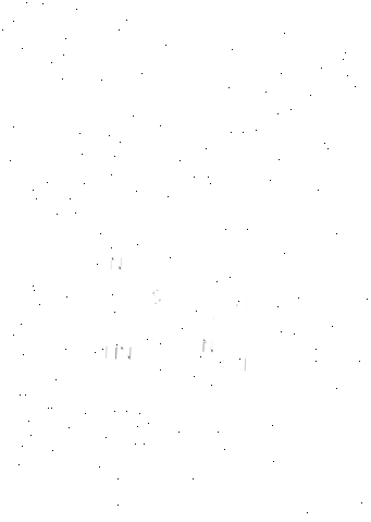 CN(C(=O)c1cc2c(-c3ccccc3)ccnc2s1)C1CCNC1